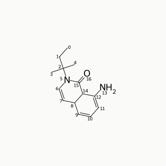 CCC(C)(C)N1C=CC2C=CC=C(N)C2C1=O